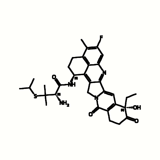 CC[C@@]1(O)C(=O)CCc2c1cc1n(c2=O)Cc2c-1nc1cc(F)c(C)c3c1c2[C@@H](NC(=O)[C@H](N)C(C)(C)SC(C)C)CC3